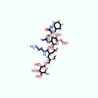 CC[C@@H](COC1O[C@@H](C)C(O)[C@H](O)[C@@H]1O)CC(C[C@H](C)O[C@@H]1O[C@@H](CO)[C@H](O)C(O[C@@H](CC2CCCCC2)C(N)=O)C1NC(C)=O)C(=O)NCCN